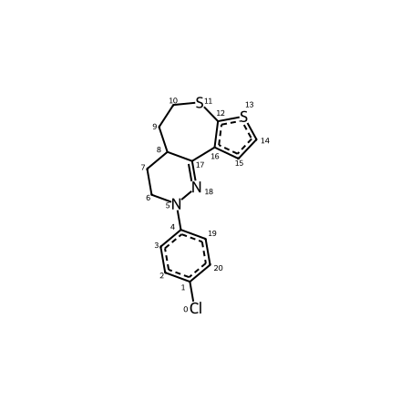 Clc1ccc(N2CCC3CCSc4sccc4C3=N2)cc1